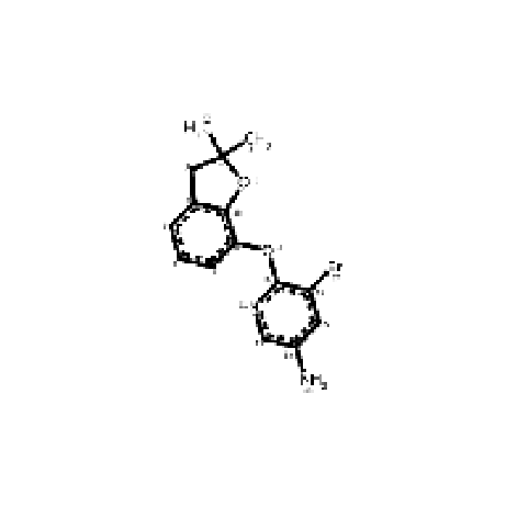 CC1(C)Cc2cccc(Oc3ncc(N)cc3Br)c2O1